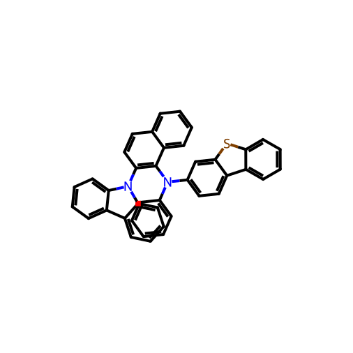 c1ccc(N(c2ccc3c(c2)sc2ccccc23)c2c(-n3c4ccccc4c4ccccc43)ccc3ccccc23)cc1